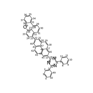 c1ccc(-c2nc(-c3ccccc3)nc(-c3cc4ccc5cc(-c6ccc7c8c(cccc68)-c6ccccc6O7)cc6ccc(c3)c4c56)n2)cc1